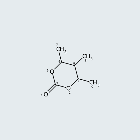 CC1OC(=O)OC(C)C1C